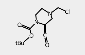 CC(C)(C)OC(=O)N1CCN(CCl)CC1=C=O